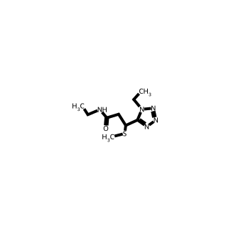 CCNC(=O)CC(SC)c1nnnn1CC